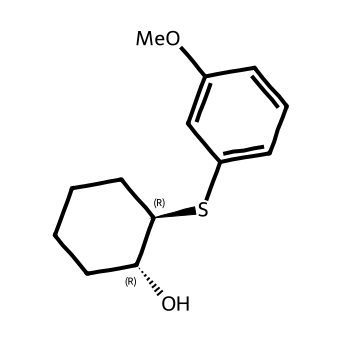 COc1cccc(S[C@@H]2CCCC[C@H]2O)c1